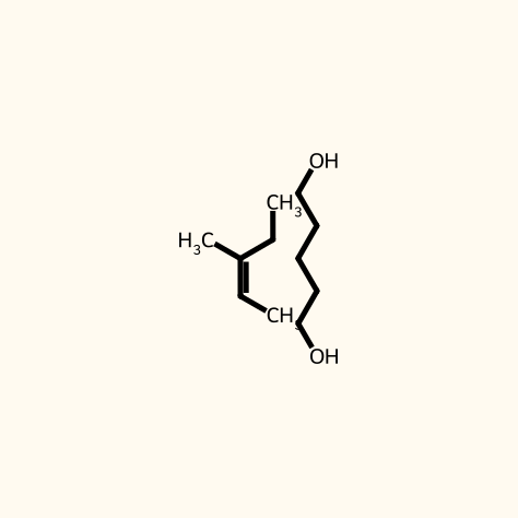 CC=C(C)CC.OCCCCCO